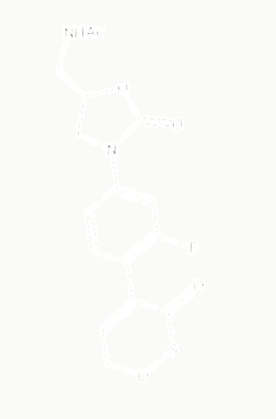 CC(=O)NC[C@H]1CN(c2ccc(C3=CCOSC3=O)c(F)c2)C(=O)O1